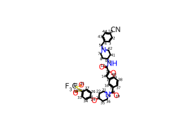 N#Cc1ccc(CN2CCC(NC(=O)c3cc4cc(C(=O)N5CCC(Oc6ccc(S(=O)(=O)C(F)(F)F)cc6)CC5)ccc4o3)CC2)cc1